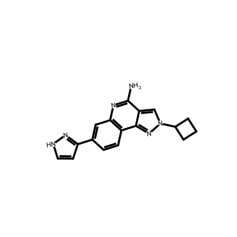 Nc1nc2cc(-c3cc[nH]n3)ccc2c2nn(C3CCC3)cc12